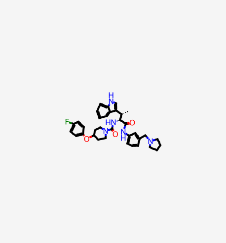 C[C@@H](c1c[nH]c2ccccc12)[C@@H](NC(=O)N1CCC(Oc2ccc(F)cc2)CC1)C(=O)Nc1cccc(CN2CCCC2)c1